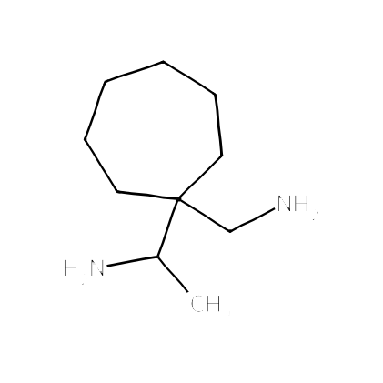 CC(N)C1(CN)CCCCCC1